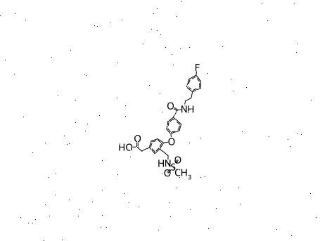 CS(=O)(=O)NCc1cc(CC(=O)O)ccc1Oc1ccc(C(=O)NCCc2ccc(F)cc2)cc1